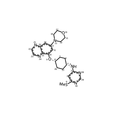 CSc1cc(N[C@H]2CC[C@@H](Oc3cc(N4CCOCC4)cc4nccnc34)CC2)ncn1